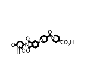 O=C1CCC(N2C(=O)c3ccc(N4CCC(C(=O)N5CCC(C(=O)O)CC5)CC4)cc3C2=O)C(=O)N1